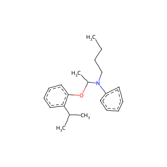 CCCCN(c1ccccc1)C(C)Oc1ccccc1C(C)C